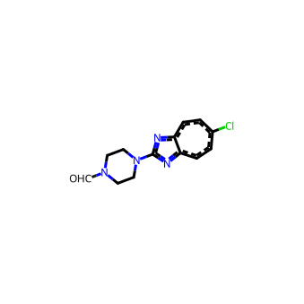 O=CN1CCN(c2nc3ccc(Cl)ccc-3n2)CC1